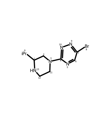 CC(C)C1CN(c2ncc(Br)nn2)CCN1